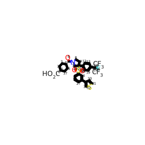 O=C(O)[C@H]1CC[C@H](C(=O)N2CCC(c3ccc(C(F)(C(F)(F)F)C(F)(F)F)cc3)(S(=O)(=O)c3cccc(-c4ccsc4)c3)C2)CC1